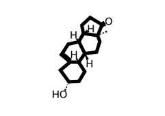 C[C@]12CC[C@H]3[C@@H](CC=C4C[C@@H](O)CC[C@@H]43)[C@@H]1CCC2=O